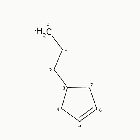 [CH2]CCC1CC=CC1